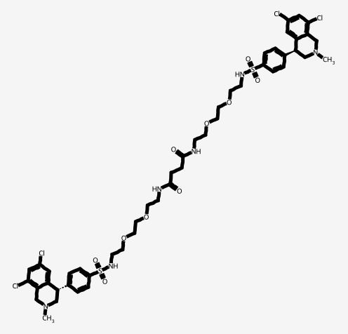 CN1Cc2c(Cl)cc(Cl)cc2[C@H](c2ccc(S(=O)(=O)NCCOCCOCCNC(=O)CCC(=O)NCCOCCOCCNS(=O)(=O)c3ccc([C@@H]4CN(C)Cc5c(Cl)cc(Cl)cc54)cc3)cc2)C1